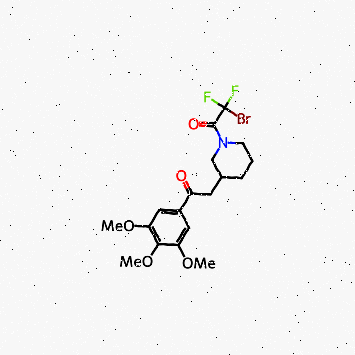 COc1cc(C(=O)CC2CCCN(C(=O)C(F)(F)Br)C2)cc(OC)c1OC